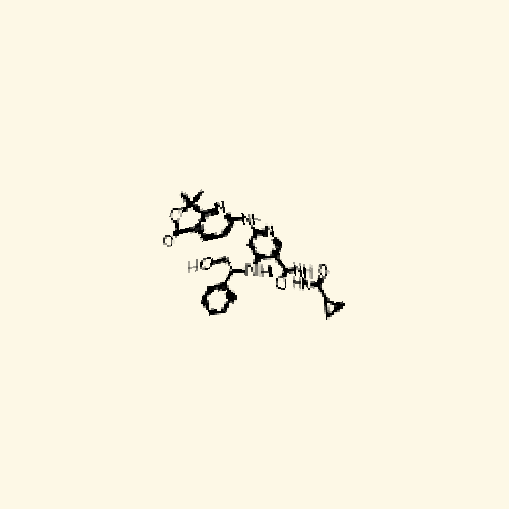 CC1(C)OC(=O)c2ccc(Nc3cc(N[C@H](CO)c4ccccc4)c(C(=O)NNC(=O)C4CC4)cn3)nc21